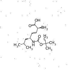 B[C@@H](/C=C/[C@H](CC(C)C)NC(=O)OC(C)(C)C)C(=O)O